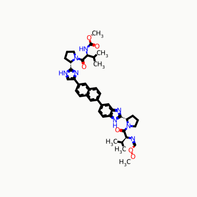 COO/C=N\[C@H](C(=O)N1CCC[C@H]1c1nc2cc(-c3ccc4cc(-c5c[nH]c([C@@H]6CCCN6C(=O)[C@@H](NC(=O)OC)C(C)C)n5)ccc4c3)ccc2[nH]1)C(C)C